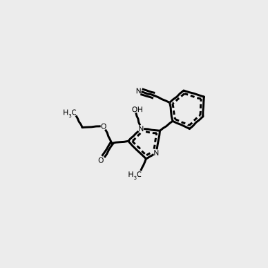 CCOC(=O)c1c(C)nc(-c2ccccc2C#N)n1O